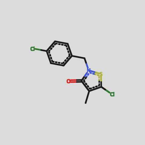 Cc1c(Cl)sn(Cc2ccc(Cl)cc2)c1=O